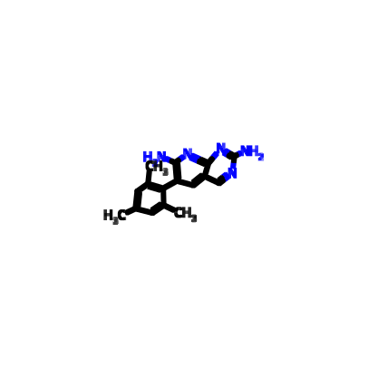 Cc1cc(C)c(-c2cc3cnc(N)nc3nc2N)c(C)c1